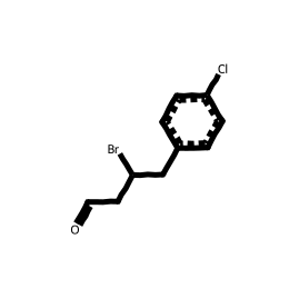 O=CCC(Br)Cc1ccc(Cl)cc1